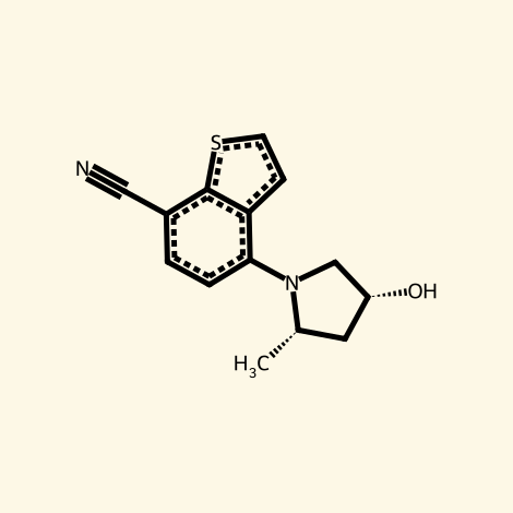 C[C@H]1C[C@@H](O)CN1c1ccc(C#N)c2sccc12